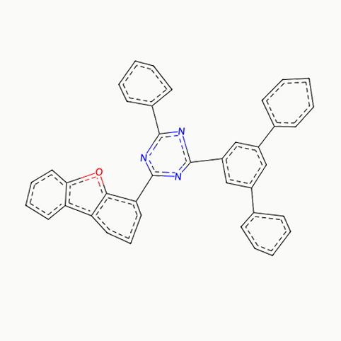 c1ccc(-c2cc(-c3ccccc3)cc(-c3nc(-c4ccccc4)nc(-c4cccc5c4oc4ccccc45)n3)c2)cc1